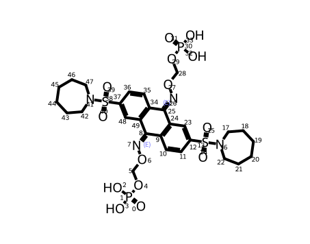 O=P(O)(O)OCO/N=C1\c2ccc(S(=O)(=O)N3CCCCCC3)cc2/C(=N/OCOP(=O)(O)O)c2ccc(S(=O)(=O)N3CCCCCC3)cc21